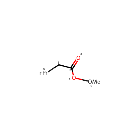 CCCCC(=O)OOC